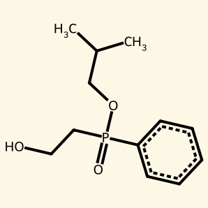 CC(C)COP(=O)(CCO)c1ccccc1